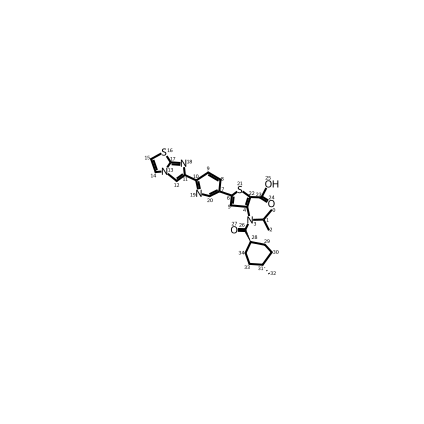 CC(C)N(c1cc(-c2ccc(-c3cn4ccsc4n3)nc2)sc1C(=O)O)C(=O)[C@H]1CC[C@H](C)CC1